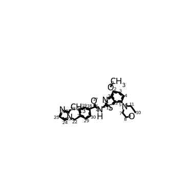 COc1ccc(N2CCOCC2)c2sc(NC(=O)c3ccc(Cn4ccnc4C)cc3)nc12